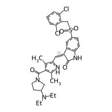 CCN(CC)C1CCN(C(=O)c2c(C)[nH]c(/C=C3\C(=O)Nc4ccc(S(=O)(=O)Cc5c(Cl)cccc5Cl)cc43)c2C)C1